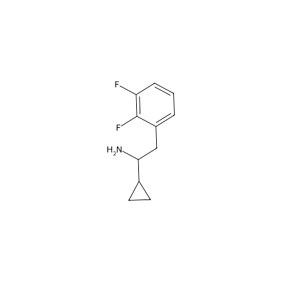 NC(Cc1cccc(F)c1F)C1CC1